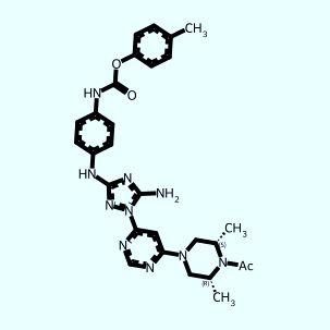 CC(=O)N1[C@H](C)CN(c2cc(-n3nc(Nc4ccc(NC(=O)Oc5ccc(C)cc5)cc4)nc3N)ncn2)C[C@@H]1C